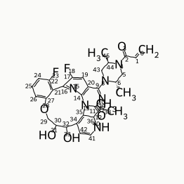 C=CC(=O)N1C[C@H](C)N(c2nc(=O)n3c4nc(c(F)cc24)-c2c(F)cccc2OCC(O)C(O)C2=C3C(C(C)C)NC=C2)C[C@H]1C